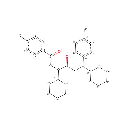 Cc1ccc(C(=O)CC(C(=O)CC(c2ccc(C)cc2)C2CCCCC2)C2CCCCC2)cc1